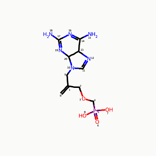 C=C(COCP(=O)(O)O)CN1C=NC2C(N)=NC(N)=NC21